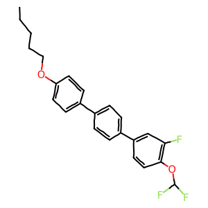 CCCCCOc1ccc(-c2ccc(-c3ccc(OC(F)F)c(F)c3)cc2)cc1